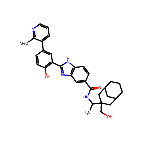 COc1ncccc1-c1ccc(O)c(-c2nc3cc(C(=O)NC(C)C4(CO)CC5CCCC(C5)C4)ccc3[nH]2)c1